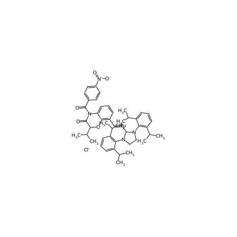 CC(C)c1cccc(C(C)C)c1N1CCN(c2c(C(C)C)cccc2C(C)C)[CH]1/[Ru]=[CH]/c1cccc2c1OC(C(C)C)C(=O)N2C(=O)c1ccc([N+](=O)[O-])cc1.[Cl-]